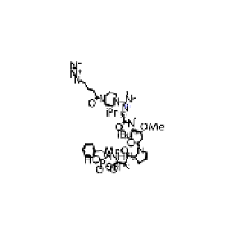 CC[C@H](C)[C@@H]([C@@H](CC(=O)N1CCC[C@H]1[C@H](OC)[C@@H](C)C(=O)N[C@@H](Cc1ccccc1)P(=O)(O)O)OC)N(C)C(=O)[C@@H](/N=C(/N(C)C)N1CCN(C(=O)CCCN=[N+]=[N-])CC1)C(C)C